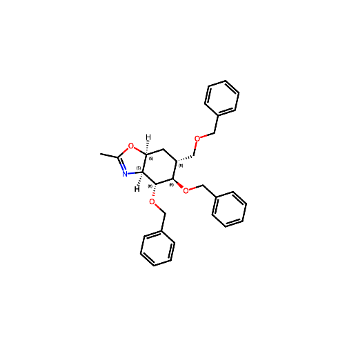 CC1=N[C@@H]2[C@@H](OCc3ccccc3)[C@H](OCc3ccccc3)[C@@H](COCc3ccccc3)C[C@@H]2O1